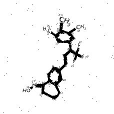 Cc1cc(C(/C=C/c2ccc3c(c2)CCC/C3=N\O)C(F)(F)F)cc(C)c1C